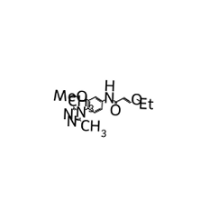 CCOC=CC(=O)Nc1ccc(-n2c(C)nnc2C)c(OC)c1